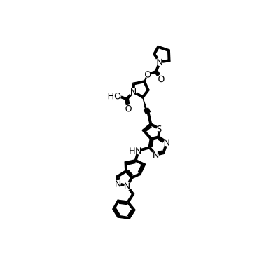 O=C(O[C@H]1C[C@@H](C#Cc2cc3c(Nc4ccc5c(cnn5Cc5ccccc5)c4)ncnc3s2)N(C(=O)O)C1)N1CCCC1